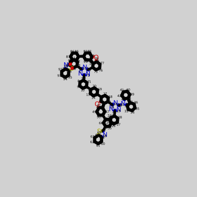 c1ccc(-c2nc(-c3cccc(-c4ccc(-c5ccc(-c6nc(-c7ccccc7)nc(-n7c8ccccc8c8ccccc87)n6)c6c5oc5ccc(-c7cccc(-c8nc9ccccc9s8)c7)cc56)cc4)c3)nc(-c3cccc4oc5ccc(-c6cccc(-c7nc8ccccc8s7)c6)cc5c34)n2)cc1